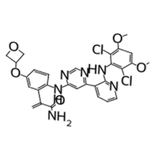 C=C(C(N)=O)c1cc(OC2COC2)ccc1Nc1cc(-c2cccnc2Nc2c(Cl)c(OC)cc(OC)c2Cl)ncn1